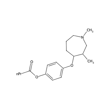 CCCC(=O)Oc1ccc(OC2CCCN(C)CC2C)cc1